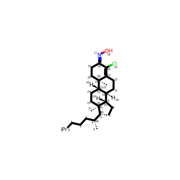 CC(C)CCC[C@@H](C)[C@H]1CC[C@H]2[C@@H]3CCC4=C(Cl)C(=NO)CC[C@]4(C)[C@H]3CC[C@]12C